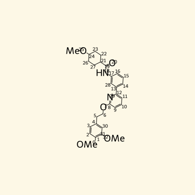 COc1ccc(CCOc2cccc(-c3cccc(NC(=O)C4CCC(OC)CC4)c3)n2)cc1OC